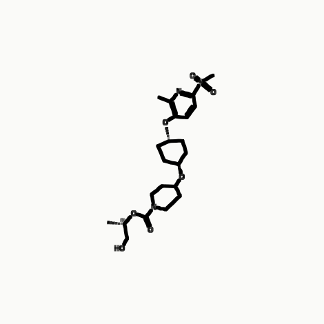 Cc1nc(S(C)(=O)=O)ccc1O[C@H]1CC[C@H](OC2CCN(C(=O)O[C@@H](C)CO)CC2)CC1